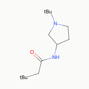 CC(C)(C)CC(=O)NC1CCN(C(C)(C)C)C1